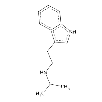 CC(C)NCCc1c[nH]c2ccccc12